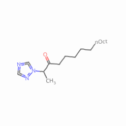 CCCCCCCCCCCCCC(=O)C(C)n1cncn1